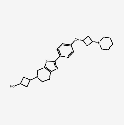 OC1CC(N2CCc3nc(-c4ccc(OC5CC(N6CCCCC6)C5)cc4)sc3C2)C1